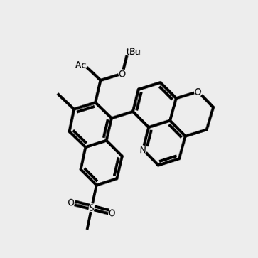 CC(=O)C(OC(C)(C)C)c1c(C)cc2cc(S(C)(=O)=O)ccc2c1-c1ccc2c3c(ccnc13)CCO2